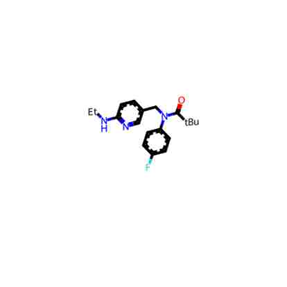 CCNc1ccc(CN(C(=O)C(C)(C)C)c2ccc(F)cc2)cn1